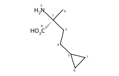 C[C@](N)(CCC1CC1)C(=O)O